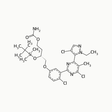 CCn1ncc(Cl)c1-c1nc(-c2cc(OC[C@@H](CCOC(N)=O)O[Si](C)(C)C(C)(C)C)ccc2Cl)nc(Cl)c1C